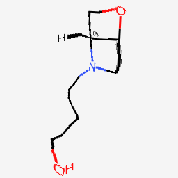 OCCCN1CC2OC[C@H]21